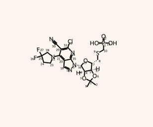 CC1(C)O[C@@H]2[C@H](O1)[C@@H](CSCP(=O)(O)O)O[C@H]2n1ncc2c(N3CCC(F)(F)C3)c(C#N)c(Cl)nc21